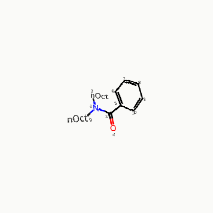 CCCCCCCCN(CCCCCCCC)C(=O)c1c[c]ccc1